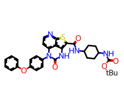 CC(C)(C)OC(=O)NC1CCC(NC(=O)c2sc3nccc4c3c2NC(=O)N4c2ccc(Oc3ccccc3)cc2)CC1